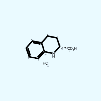 Cl.O=C(O)[C@H]1CCc2ccccc2N1